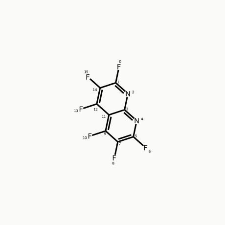 Fc1nc2nc(F)c(F)c(F)c2c(F)c1F